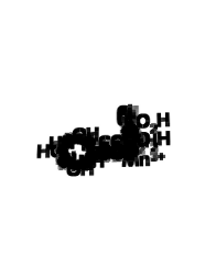 O=C(O)c1cc[c]([Mn+3])cc1.O=C(O)c1ccccc1.O=C(O)c1ccccc1.O=C(O)c1ccccc1.Oc1c2nc(c(O)c3ccc([nH]3)c(O)c3nc(c(O)c4ccc1[nH]4)C=C3)C=C2.[Cl-].[Cl-].[Cl-]